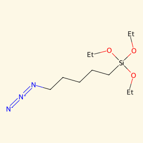 CCO[Si](CCCCCN=[N+]=[N-])(OCC)OCC